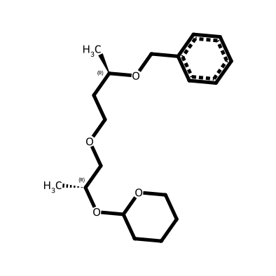 C[C@H](CCOC[C@@H](C)OC1CCCCO1)OCc1ccccc1